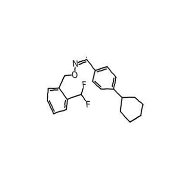 FC(F)c1ccccc1CO/N=[C]\c1ccc(C2CCCCC2)cc1